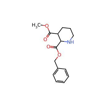 COC(=O)C1CCCNC1C(=O)OCc1ccccc1